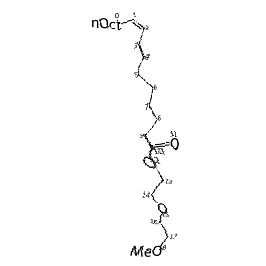 CCCCCCCC/C=C\CCCCCCCC(=O)OCCOCCOC